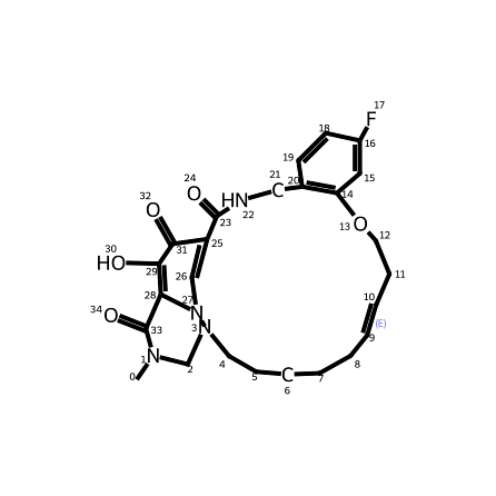 CN1CN2CCCCC/C=C/CCOc3cc(F)ccc3CNC(=O)c3cn2c(c(O)c3=O)C1=O